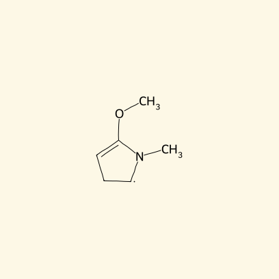 COC1=CC[CH]N1C